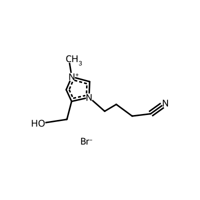 C[n+]1cc(CO)n(CCCC#N)c1.[Br-]